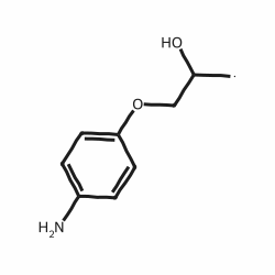 [CH2]C(O)COc1ccc(N)cc1